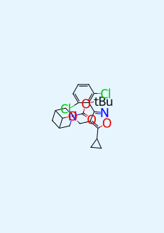 CC(C)(C)OC(=O)N1CC2CC(C1)C2OCc1c(-c2c(Cl)cccc2Cl)noc1C1CC1